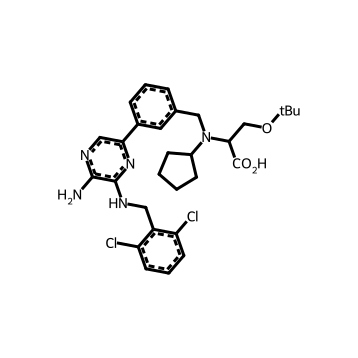 CC(C)(C)OCC(C(=O)O)N(Cc1cccc(-c2cnc(N)c(NCc3c(Cl)cccc3Cl)n2)c1)C1CCCC1